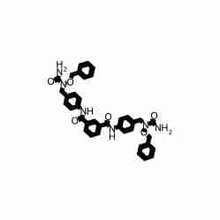 NC(=O)N(Cc1ccc(NC(=O)c2cccc(C(=O)Nc3ccc(CN(OCc4ccccc4)C(N)=O)cc3)c2)cc1)OCc1ccccc1